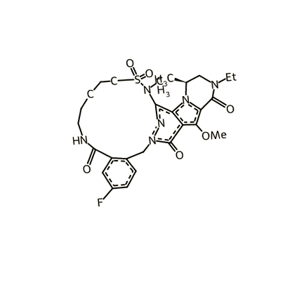 CCN1C[C@H](C)n2c(c(OC)c3c(=O)n4nc(c32)N(C)S(=O)(=O)CCCCCNC(=O)c2cc(F)ccc2C4)C1=O